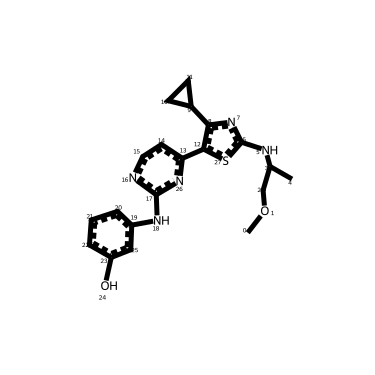 COCC(C)Nc1nc(C2CC2)c(-c2ccnc(Nc3cccc(O)c3)n2)s1